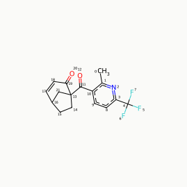 Cc1nc(C(F)(F)F)ccc1C(=O)C12CCC(C=CC1=O)C2